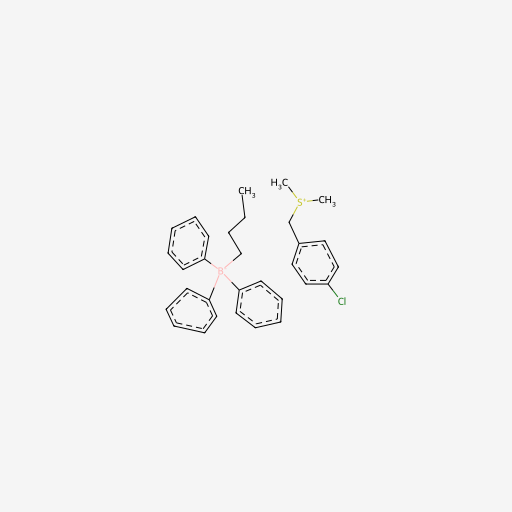 CCCC[B-](c1ccccc1)(c1ccccc1)c1ccccc1.C[S+](C)Cc1ccc(Cl)cc1